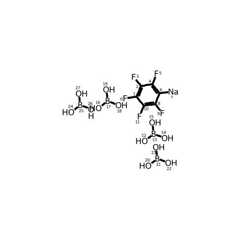 Fc1c(F)c(F)[c]([Na])c(F)c1F.OB(O)O.OB(O)O.OB(O)O.OB(O)O